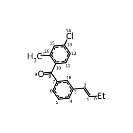 CCC=Cc1cccc(C(=O)c2ccc(Cl)cc2C)c1